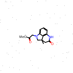 COC(=O)CN1CC2(C)CC(=O)Nc3cccc1c32